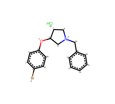 Brc1ccc(OC2CCN(Cc3ccccc3)C2)cc1.Cl